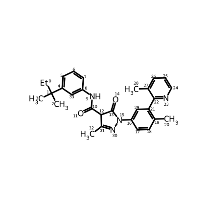 CCC(C)(C)c1cccc(NC(=O)C2C(=O)N(c3ccc(C)c(-c4ncccc4C)c3)N=C2C)c1